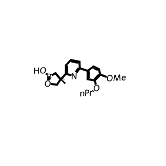 CCCOc1cc(-c2cccc([C@]3(C)COB(O)C3)n2)ccc1OC